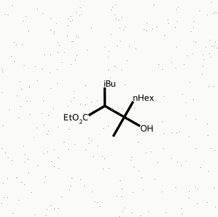 CCCCCCC(C)(O)C(C(=O)OCC)C(C)CC